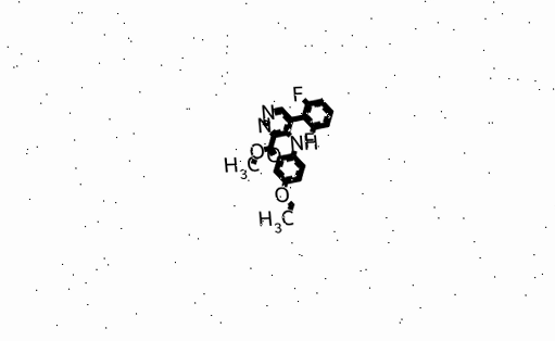 CCOc1ccc(Nc2c(-c3c(F)cccc3F)cnnc2C(=O)OC)cc1